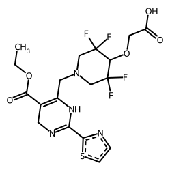 CCOC(=O)C1=C(CN2CC(F)(F)C(OCC(=O)O)C(F)(F)C2)NC(c2nccs2)=NC1